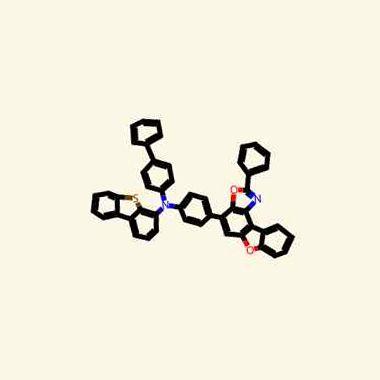 c1ccc(-c2ccc(N(c3ccc(-c4cc5oc6ccccc6c5c5nc(-c6ccccc6)oc45)cc3)c3cccc4c3sc3ccccc34)cc2)cc1